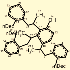 CCCCCCCCCCc1ccccc1CC(C)c1ccc(O)c(C(C)Cc2ccccc2CCCCCCCCCC)c1C(C)Cc1ccccc1CCCCCCCCCC